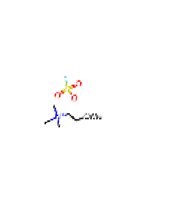 COCC[N+](C)(C)C.O=S(=O)([O-])F